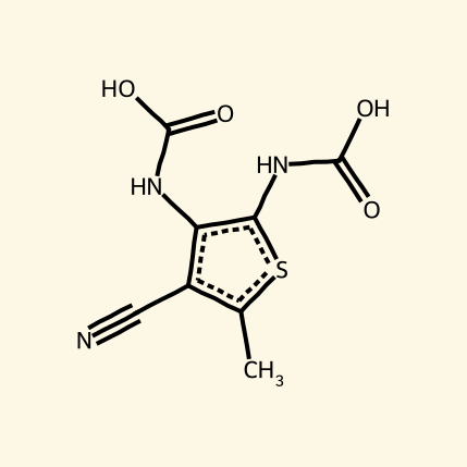 Cc1sc(NC(=O)O)c(NC(=O)O)c1C#N